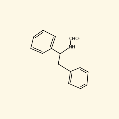 O=[C]NC(Cc1ccccc1)c1ccccc1